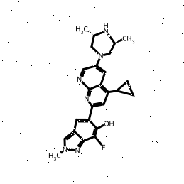 C[C@H]1CN(c2cnc3nc(-c4cc5cn(C)nc5c(F)c4O)cc(C4CC4)c3c2)C[C@H](C)N1